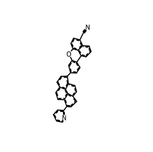 N#Cc1ccc2c3c(cccc13)-c1ccc(-c3ccc4ccc5c(-c6ccccn6)ccc6ccc3c4c65)cc1O2